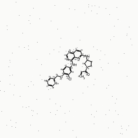 C=CC(=O)N1CCC(Nc2ccc3ncnc(Nc4ccc(OCc5cnccn5)c(Cl)c4)c3n2)C1